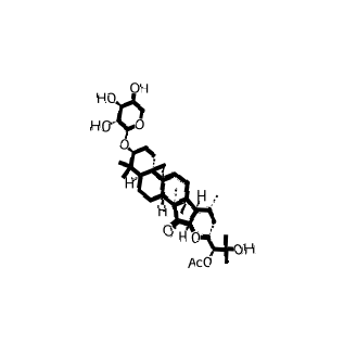 CC(=O)O[C@@H]([C@H]1C[C@@H](C)[C@H]2[C@H](O1)C(=O)[C@@]1(C)[C@@H]3CC[C@H]4C(C)(C)[C@@H](O[C@@H]5OCC(O)[C@H](O)[C@H]5O)CC[C@@]45C[C@@]35CC[C@]21C)C(C)(C)O